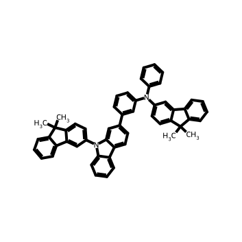 CC1(C)c2ccccc2-c2cc(N(c3ccccc3)c3cccc(-c4ccc5c6ccccc6n(-c6ccc7c(c6)-c6ccccc6C7(C)C)c5c4)c3)ccc21